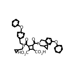 O=C(O)C1C(C(=O)O)C(C(=O)N(Cc2ccc(Oc3ccccc3)cc2)CC2CC2)C1C(=O)N(Cc1ccc(Oc2ccccc2)cc1)CC1CC1